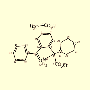 CC(=O)O.CCOC(=O)C(N)(c1ccccc1C(=O)c1ccccc1)N1CCOCC1